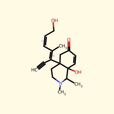 C#C/C(=C(C)\C=C/CO)C12CCN(C)C(C)C1(O)C=CC(=O)C2